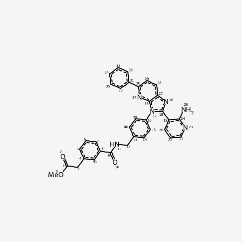 COC(=O)Cc1cccc(C(=O)NCc2ccc(-n3c(-c4cccnc4N)nc4ccc(-c5ccccc5)nc43)cc2)c1